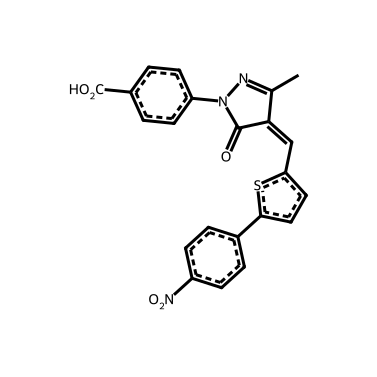 CC1=NN(c2ccc(C(=O)O)cc2)C(=O)C1=Cc1ccc(-c2ccc([N+](=O)[O-])cc2)s1